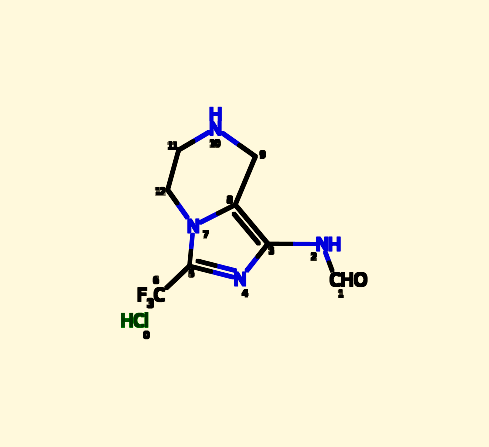 Cl.O=CNc1nc(C(F)(F)F)n2c1CNCC2